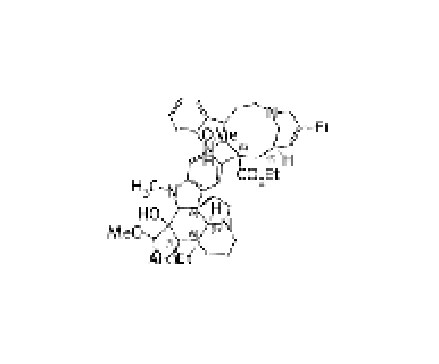 CCOC(=O)[C@]1(c2cc3c(cc2OC)N(C)C2C(O)(C(=O)OC)[C@H](OC(C)=O)[C@]4(CC)C=CCN5CC[C@]32[C@@H]54)C[C@@H]2C=C(CC)CN(CCc3c1[nH]c1ccccc31)C2